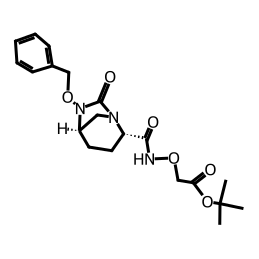 CC(C)(C)OC(=O)CONC(=O)[C@@H]1CC[C@@H]2CN1C(=O)N2OCc1ccccc1